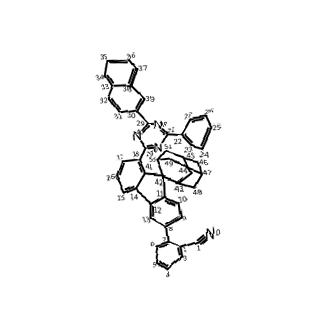 N#Cc1ccccc1-c1ccc2c(c1)-c1cccc(-c3nc(-c4ccccc4)nc(-c4ccc5ccccc5c4)n3)c1C21C2CC3CC(C2)CC1C3